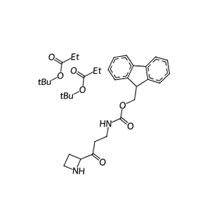 CCC(=O)OC(C)(C)C.CCC(=O)OC(C)(C)C.O=C(NCCC(=O)C1CCN1)OCC1c2ccccc2-c2ccccc21